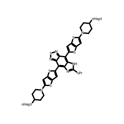 CCCCCCCC1CCN(c2cc3sc(-c4c5nsnc5c(-c5cc6sc(N7CCC(CCCCCCC)CC7)cc6s5)c5[nH]c(CCC)nc45)cc3s2)CC1